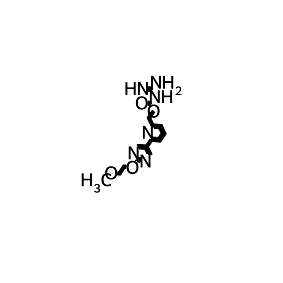 COCCOc1ncc(-c2cccc(COC(=O)NC(=N)N)n2)cn1